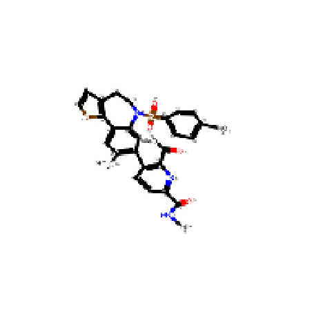 CCCNC(=O)c1ccc(-c2cc3c(cc2C(=O)O)-c2sccc2CCN3S(=O)(=O)c2ccc([N+](=O)[O-])cc2)c(C(=O)OC)n1